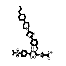 CCCC1CCC(C2CCN(c3cnc(-c4ccc(C[C@H](NC(=O)c5ccc(S(=O)(=O)C(C)C)cc5)C(=O)N5CC(C(=O)O)C5)cc4)nc3)CC2)CC1